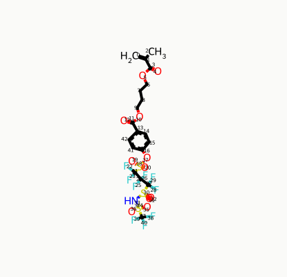 C=C(C)C(=O)OCCCCOC(=O)c1ccc(OS(=O)(=O)C(F)(F)C(F)(F)C(F)(F)S(=O)(=O)NS(=O)(=O)C(F)(F)F)cc1